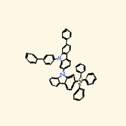 c1ccc(-c2ccc(-n3c4cc(-c5ccccc5)ccc4c4ccc(-n5c6ccccc6c6ccc([Si](c7ccccc7)(c7ccccc7)c7ccccc7)cc65)cc43)cc2)cc1